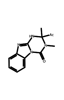 CC(=O)C1(C)Nc2nc3ccccc3n2C(=O)N1C